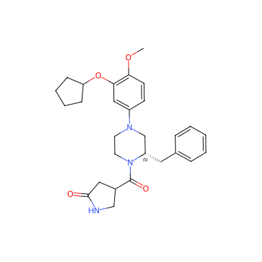 COc1ccc(N2CCN(C(=O)C3CNC(=O)C3)[C@@H](Cc3ccccc3)C2)cc1OC1CCCC1